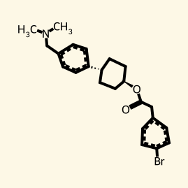 CN(C)Cc1ccc([C@H]2CC[C@H](OC(=O)Cc3ccc(Br)cc3)CC2)cc1